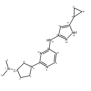 CN(C)[C@H]1CCN(c2nccc(Nc3cc(C4CC4)[nH]n3)n2)C1